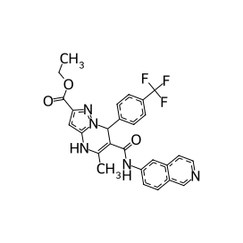 CCOC(=O)c1cc2n(n1)C(c1ccc(C(F)(F)F)cc1)C(C(=O)Nc1ccc3cnccc3c1)=C(C)N2